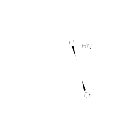 CC[C@]12CCCN[C@H]1c1ccccc1CC2